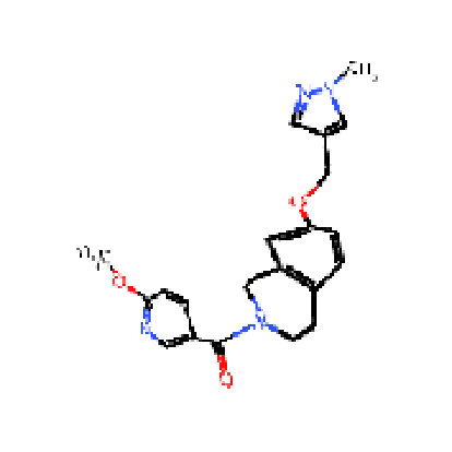 COc1ccc(C(=O)N2CCc3ccc(OCc4cnn(C)c4)cc3C2)cn1